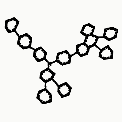 c1ccc(-c2ccc(-c3ccc(N(c4ccc(-c5ccc6c(-c7ccccc7)c(-c7ccccc7)c7ccccc7c6c5)cc4)c4ccc(-c5ccccc5)c(-c5ccccc5)c4)cc3)cc2)cc1